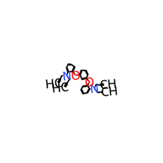 C#CCN(CC#C)c1ccccc1Oc1cccc(Oc2ccccc2N(CC#C)CC#C)c1